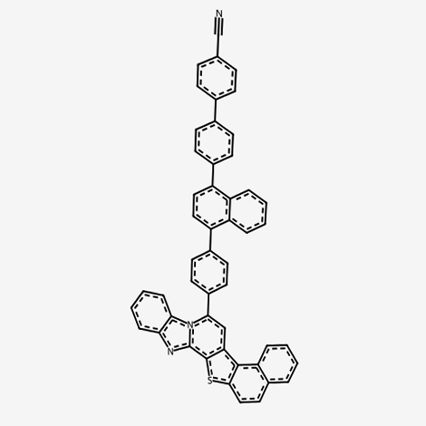 N#Cc1ccc(-c2ccc(-c3ccc(-c4ccc(-c5cc6c(sc7ccc8ccccc8c76)c6nc7ccccc7n56)cc4)c4ccccc34)cc2)cc1